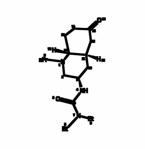 CCCN1C[C@@H](NC(=O)N(CC)CC)C[C@@H]2CC(=O)CC[C@H]21